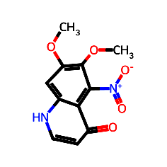 COc1cc2[nH]ccc(=O)c2c([N+](=O)[O-])c1OC